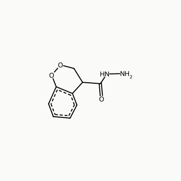 NNC(=O)C1COOc2ccccc21